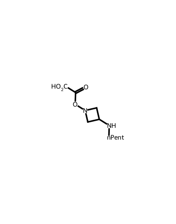 CCCCCNC1CN(OC(=O)C(=O)O)C1